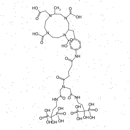 CC1CN(C(=O)O)CC(Cc2ccc(NC(=O)CCCC(=O)N(CC(=O)NCCC(O)(P(=O)(O)O)P(=O)(O)O)CC(=O)NCCC(O)(P(=O)(O)O)P(=O)(O)O)cc2)N(C(=O)O)CCN(C(=O)O)CCN1CC(=O)O